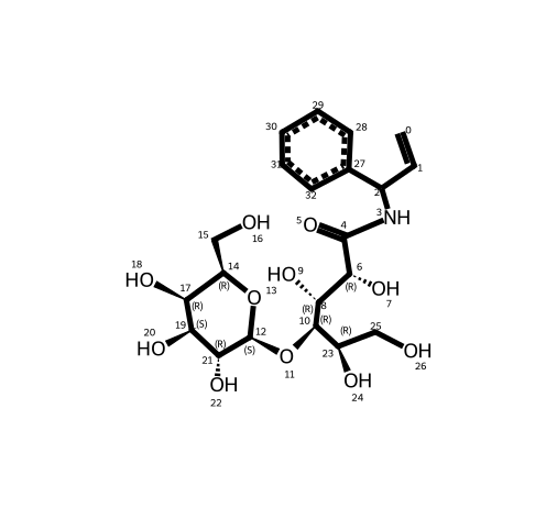 C=CC(NC(=O)[C@H](O)[C@@H](O)[C@H](O[C@@H]1O[C@H](CO)[C@H](O)[C@H](O)[C@H]1O)[C@H](O)CO)c1ccccc1